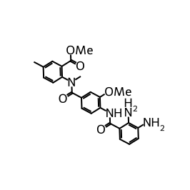 COC(=O)c1cc(C)ccc1N(C)C(=O)c1ccc(NC(=O)c2cccc(N)c2N)c(OC)c1